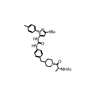 CC(=O)N[C@@H](C)C(=O)N1CCC(Cc2ccc(NC(=O)Nc3cc(C(C)(C)C)nn3-c3ccc(C)cc3)cc2)CC1